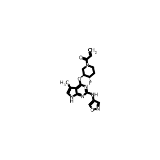 C=CC(=O)N1CC[C@H](F)[C@@H](Oc2nc(Nc3cnoc3)nc3[nH]cc(C)c23)C1